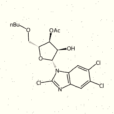 CCCCOC[C@H]1O[C@@H](n2c(Cl)nc3cc(Cl)c(Cl)cc32)[C@H](O)[C@@H]1OC(C)=O